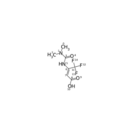 CN(C)C(=O)NC(=CC(=O)O)C(F)(F)F